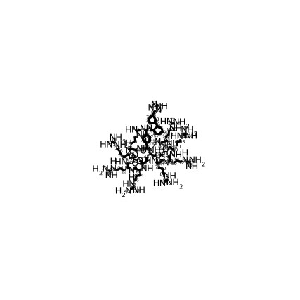 N=C(N)NCCC[C@H](NC(=O)[C@H](CCCNC(=N)N)NC(=O)[C@H](CCCNC(=N)N)NC(=O)[C@H](CCCNC(=N)N)NC(=O)CC[C@H](NC(=O)c1ccc(Cn2c3ccccc3c3cc(-c4nn[nH]n4)ccc32)cc1)C(=O)N[C@@H](CCCNC(=N)N)C(=O)N[C@@H](CCCNC(=N)N)C(=O)N[C@@H](CCCNC(=N)N)C(=O)N[C@@H](CCCNC(=N)N)C(N)=O)C(N)=O